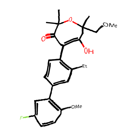 CCc1cc(-c2cc(F)ccc2OC)ccc1C1=C(O)C(C)(COC)OC(C)(C)C1=O